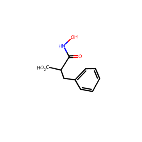 O=C(O)C(Cc1ccccc1)C(=O)NO